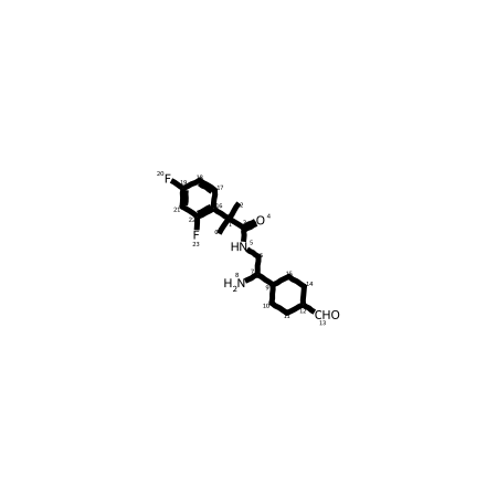 CC(C)(C(=O)NCC(N)C1CCC(C=O)CC1)c1ccc(F)cc1F